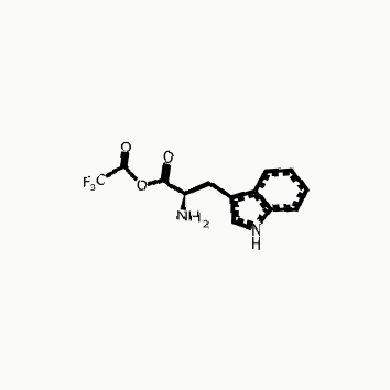 N[C@H](Cc1c[nH]c2ccccc12)C(=O)OC(=O)C(F)(F)F